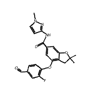 Cn1ccc(NC(=O)c2cc(Oc3ccc(C=O)cc3F)c3c(c2)OC(C)(C)C3)n1